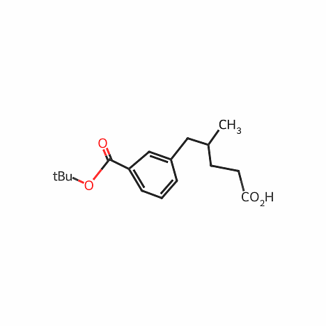 CC(CCC(=O)O)Cc1cccc(C(=O)OC(C)(C)C)c1